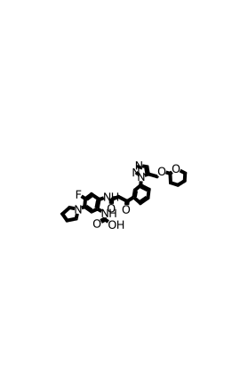 O=C(O)Nc1cc(N2CCCC2)c(F)cc1NC(=O)CC(=O)c1cccc(-n2nncc2COC2CCCCO2)c1